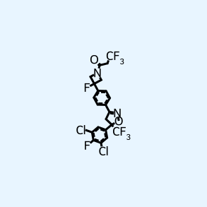 O=C(CC(F)(F)F)N1CC(F)(c2ccc(C3=NOC(c4cc(Cl)c(F)c(Cl)c4)(C(F)(F)F)C3)cc2)C1